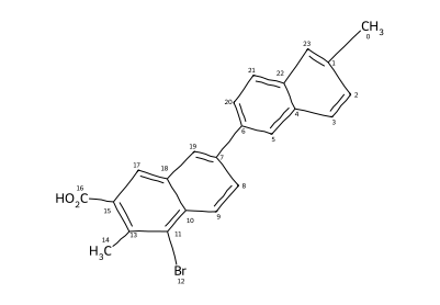 Cc1ccc2cc(-c3ccc4c(Br)c(C)c(C(=O)O)cc4c3)ccc2c1